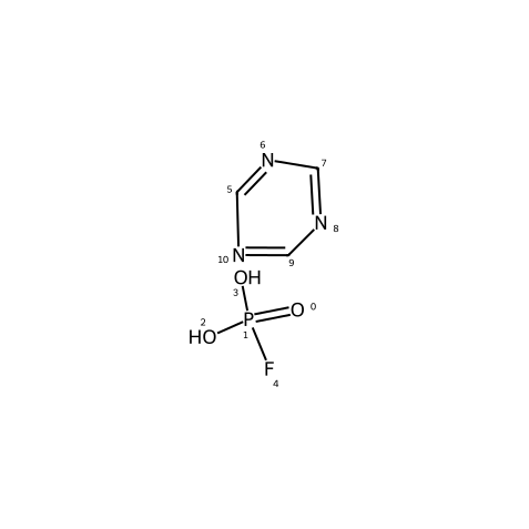 O=P(O)(O)F.c1ncncn1